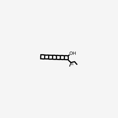 CC[C@@H](C)C1C(O)C2C3C4C5C6C7CCC7C6C5C4C3C21